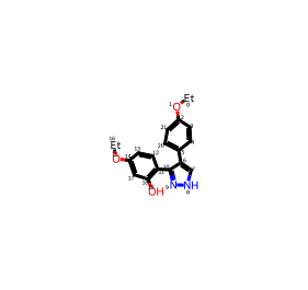 CCOc1ccc(-c2c[nH]nc2-c2ccc(OCC)cc2O)cc1